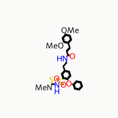 CNC(=S)NS(=O)(=O)c1cc(CCNC(=O)/C=C/c2ccc(OC)cc2OC)ccc1Oc1ccccc1